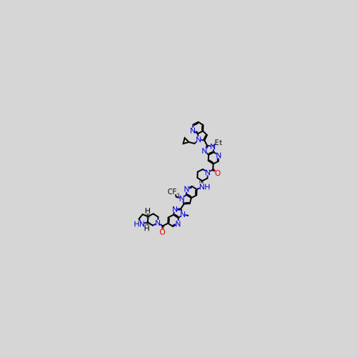 CCn1c(-c2cc3cccnc3n2CC2CC2)nc2cc(C(=O)N3CCC[C@@H](Nc4cnc5c(c4)cc(-c4nc6cc(C(=O)N7CC[C@@H]8CCN[C@@H]8C7)cnc6n4C)n5CC(F)(F)F)C3)cnc21